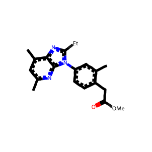 CCc1nc2c(C)cc(C)nc2n1-c1ccc(CC(=O)OC)c(C)c1